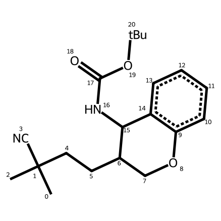 CC(C)(C#N)CCC1COc2ccccc2C1NC(=O)OC(C)(C)C